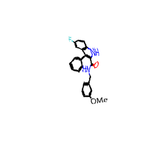 COc1cccc(CNC(=O)c2[nH]c3ccc(F)cc3c2-c2ccccc2)c1